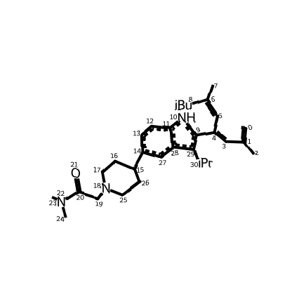 C=C(C)/C=C(\C=C(\C)C(C)CC)c1[nH]c2ccc(C3CCN(CC(=O)N(C)C)CC3)cc2c1C(C)C